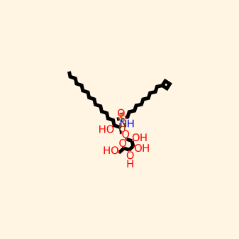 CCCCCCCCCCCCCCC[C@@H](O)[C@H](COC1OC(CO)C(O)C(O)C1O)N[SH](C)(=O)CCCCCCCCCCC1CCC1